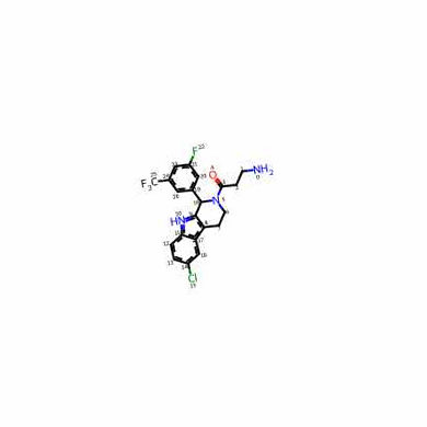 NCCC(=O)N1CCc2c([nH]c3ccc(Cl)cc23)C1c1cc(F)cc(C(F)(F)F)c1